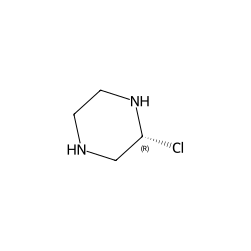 Cl[C@@H]1CNCCN1